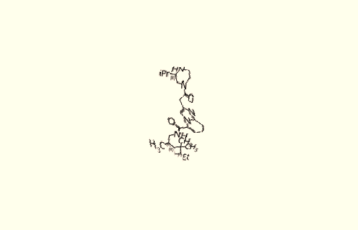 CC[C@@H]1C[C@H]([C@@H](C)CNC(=O)c2cccc3nc(CC(=O)N4CCN[C@H](C(C)C)C4)cn23)C1(C)C